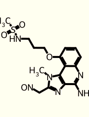 Cn1c(CN=O)nc2c(N)nc3cccc(OCCCNS(C)(=O)=O)c3c21